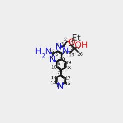 CCOCc1nc2c(N)nc3cc(-c4ccncc4)ccc3c2n1CC(C)(C)O